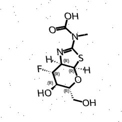 CN(C(=O)O)C1=N[C@@H]2[C@@H](F)[C@H](O)[C@@H](CO)O[C@@H]2S1